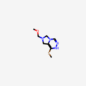 COCN1CC2=C(SC)NN=CN2C1